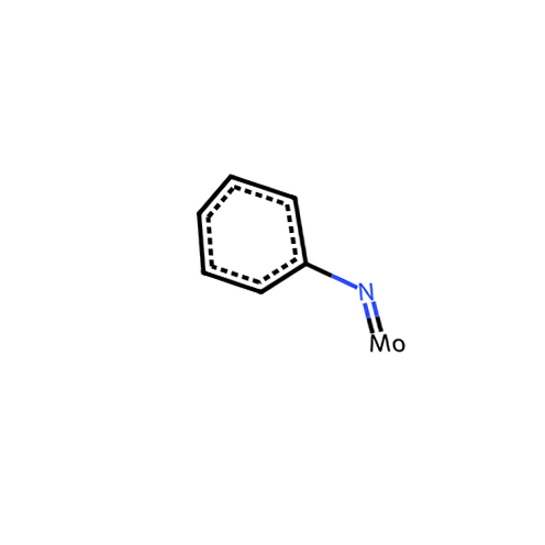 [Mo]=[N]c1ccccc1